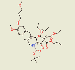 CCCOC(=O)C(C(=O)OCC)(C(=O)[C@H](C[C@H](Cc1ccc(OC)c(OCCCOC)c1)C(C)C)NC(=O)OC(C)(C)C)[C@@H](C(=O)OCC)C(C)C